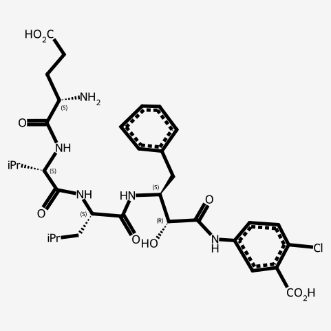 CC(C)C[C@H](NC(=O)[C@@H](NC(=O)[C@@H](N)CCC(=O)O)C(C)C)C(=O)N[C@@H](Cc1ccccc1)[C@@H](O)C(=O)Nc1ccc(Cl)c(C(=O)O)c1